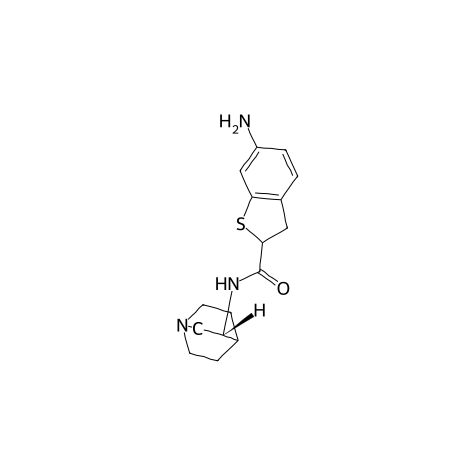 Nc1ccc2c(c1)SC(C(=O)N[C@H]1CN3CCC1CC3)C2